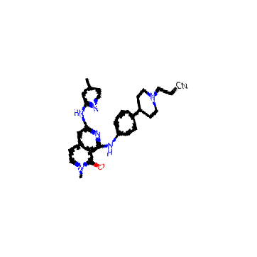 Cc1ccnc(Nc2cc3ccn(C)c(=O)c3c(Nc3ccc(C4CCN(CCC#N)CC4)cc3)n2)c1